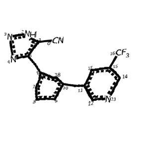 N#Cc1[nH]nnc1-c1cccc(-c2cncc(C(F)(F)F)c2)c1